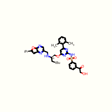 Cc1cccc(C)c1-c1cc(OC[C@@H](CC(C)(C)C)NCc2cnc3oc(C(C)C)cc3n2)nc(NS(=O)(=O)c2cccc(C(=O)CO)c2)n1